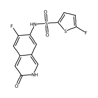 O=c1cc2cc(F)c(NS(=O)(=O)c3ccc(F)s3)cc2c[nH]1